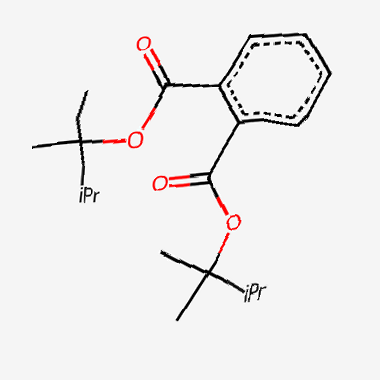 CC(C)C(C)(C)OC(=O)c1ccccc1C(=O)OC(C)(C)C(C)C